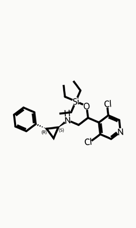 CC[Si](CC)(CC)OC(CN[C@H]1C[C@@H]1c1ccccc1)c1c(Cl)cncc1Cl